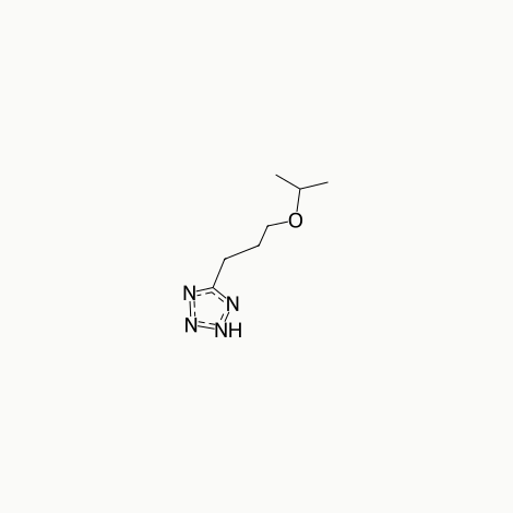 CC(C)OCCCc1nn[nH]n1